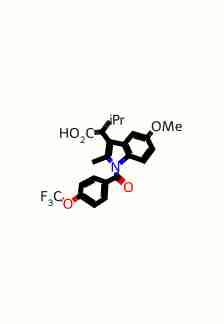 COc1ccc2c(c1)c(C(C(=O)O)C(C)C)c(C)n2C(=O)c1ccc(OC(F)(F)F)cc1